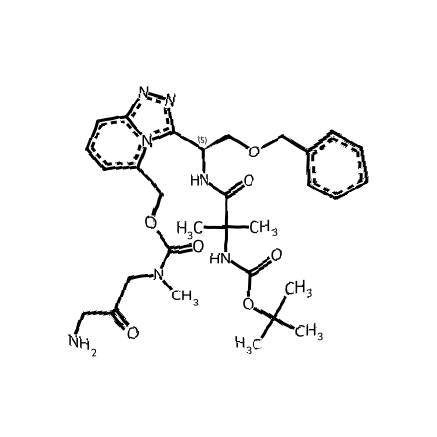 CN(CC(=O)CN)C(=O)OCc1cccc2nnc([C@@H](COCc3ccccc3)NC(=O)C(C)(C)NC(=O)OC(C)(C)C)n12